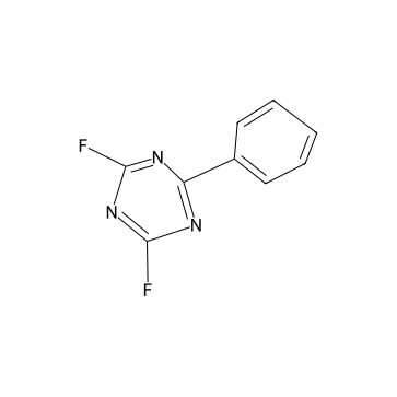 Fc1nc(F)nc(-c2ccccc2)n1